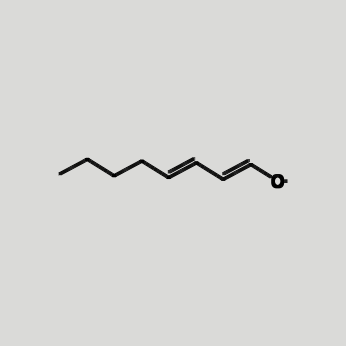 CCCCC=CC=C[O]